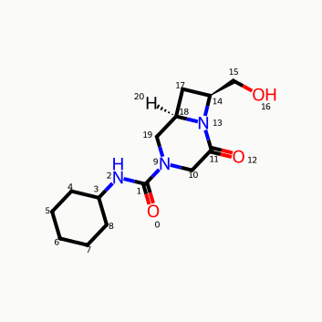 O=C(NC1CCCCC1)N1CC(=O)N2[C@H](CO)C[C@@H]2C1